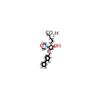 O=C(O)CCC/C=C\C[C@@H]1[C@@H](N2CCOCC2)[C@H](OCc2ccc(-c3ccccc3)cc2)C[C@@H]1O